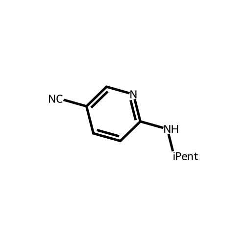 CCCC(C)Nc1ccc(C#N)cn1